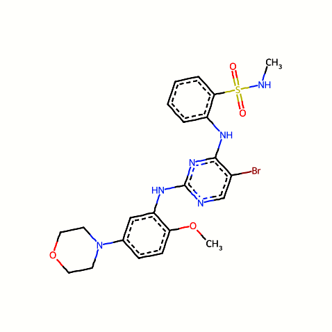 CNS(=O)(=O)c1ccccc1Nc1nc(Nc2cc(N3CCOCC3)ccc2OC)ncc1Br